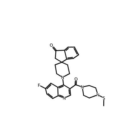 CSN1CCN(C(=O)c2cnc3ccc(F)cc3c2N2CCC3(CC2)CC(=O)c2ccccc23)CC1